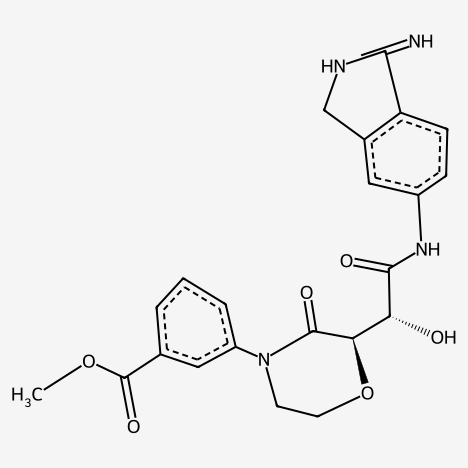 COC(=O)c1cccc(N2CCO[C@H]([C@@H](O)C(=O)Nc3ccc4c(c3)CNC4=N)C2=O)c1